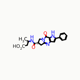 C[C@H](CC(=O)O)NC(=O)[C@@H]1Cc2nc3cc(-c4ccccc4)[nH]c3c(=O)n2C1